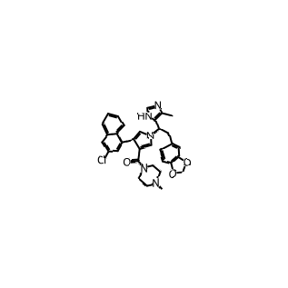 Cc1nc[nH]c1C(Cc1ccc2c(c1)OCO2)n1cc(C(=O)N2CCN(C)CC2)c(-c2cc(Cl)cc3ccccc23)c1